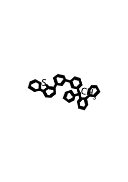 CC(c1ccccc1)(c1cccc(-c2cccc(-c3cccc4c3SC3C=CC=CC43)c2)c1)c1ccccc1C1C=CC=CC1